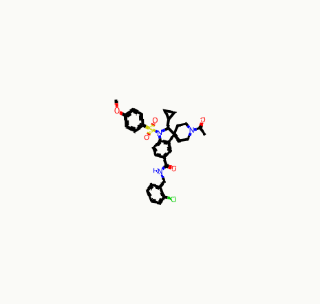 COc1ccc(S(=O)(=O)N2c3ccc(C(=O)NCc4ccccc4Cl)cc3C3(CCN(C(C)=O)CC3)C2C2CC2)cc1